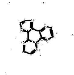 C1=NC2c3nccnc3-c3nccnc3C2N=C1